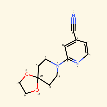 N#Cc1ccnc(N2CCC3(CC2)OCCO3)c1